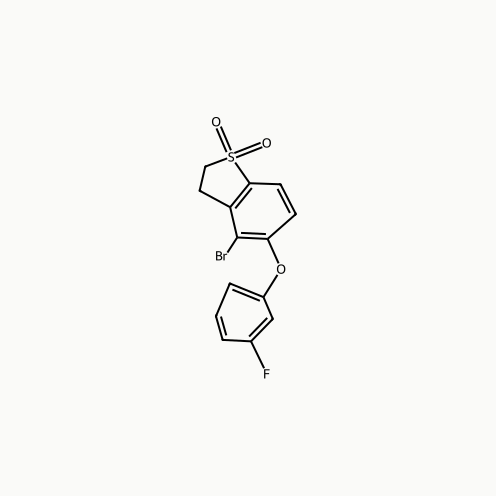 O=S1(=O)CCc2c1ccc(Oc1cccc(F)c1)c2Br